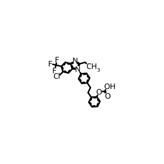 CCc1nc2cc(C(F)(F)F)c(Cl)cc2n1-c1ccc(CCc2ccccc2OC(=O)O)cc1